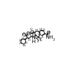 CCC1(CC)c2cc(C(N)=O)ccc2CC(OC)C1NCCC(C(=O)O)C1CCCCC1